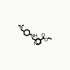 CCOC(=O)c1ccnc(CNC2CCC(CN(C)C)CC2)c1